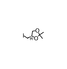 CC1(C)OC[C@H](CI)O1